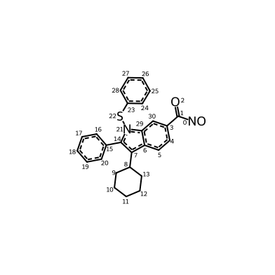 O=NC(=O)c1ccc2c(C3CCCCC3)c(-c3ccccc3)n(Sc3ccccc3)c2c1